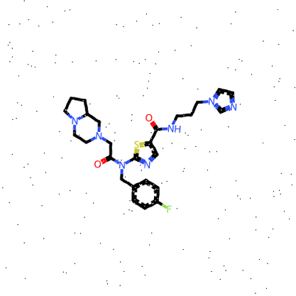 O=C(NCCCn1ccnc1)c1cnc(N(Cc2ccc(F)cc2)C(=O)CN2CCN3CCCC3C2)s1